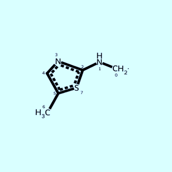 [CH2]Nc1ncc(C)s1